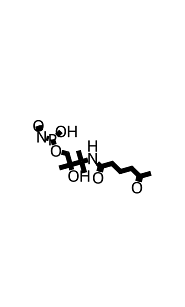 CC(=O)CCCC(=O)NC(C)(C)C(C)(O)COP(O)N=O